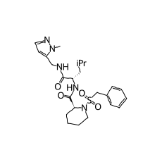 CC(C)C[C@H](NC(=O)[C@@H]1CCCCN1S(=O)(=O)Cc1ccccc1)C(=O)NCc1ccnn1C